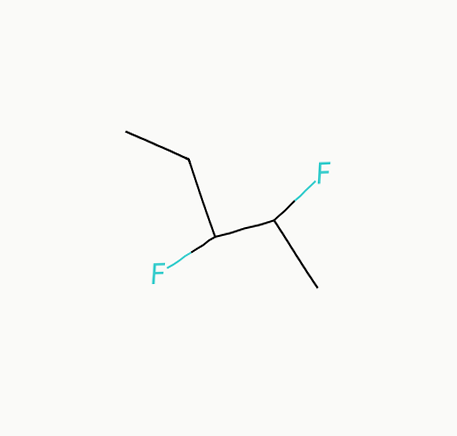 CCC(F)C(C)F